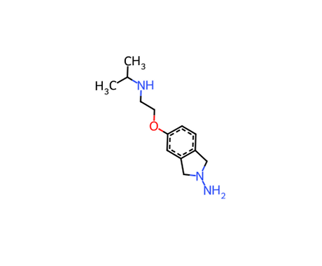 CC(C)NCCOc1ccc2c(c1)CN(N)C2